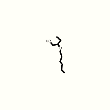 CCCCCCOC(CC)CO